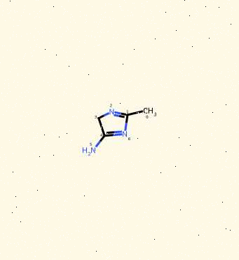 CC1=NCC(N)=N1